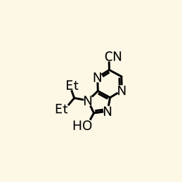 CCC(CC)n1c(O)nc2ncc(C#N)nc21